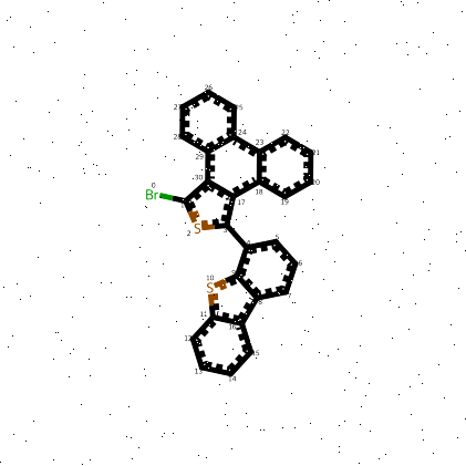 Brc1sc(-c2cccc3c2sc2ccccc23)c2c3ccccc3c3ccccc3c12